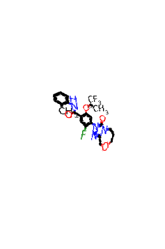 Cc1ccccc1NC(=O)c1cc(F)c(-n2nc3n(c2=O)CCCOC3)cc1O[C@@H](C)C(F)(F)F